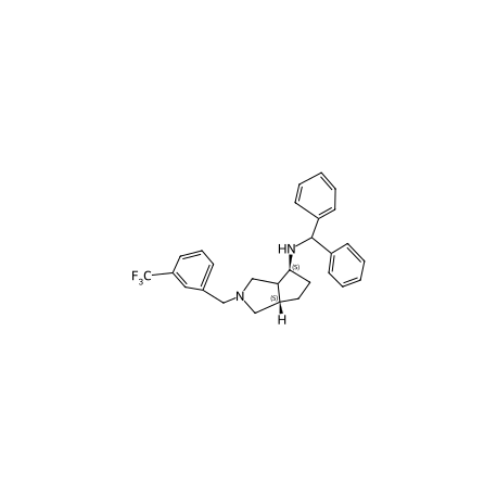 FC(F)(F)c1cccc(CN2CC3[C@H](CC[C@@H]3NC(c3ccccc3)c3ccccc3)C2)c1